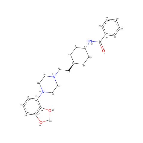 O=C(N[C@H]1CC[C@H](CCN2CCN(c3cccc4c3OCO4)CC2)CC1)c1ccccc1